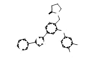 O=C1CCCN1Cc1ccc(-c2ncc(-c3cccnc3)o2)cc1Oc1ccc(Cl)c(F)c1